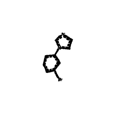 Brc1cccc(-n2[c]ncc2)c1